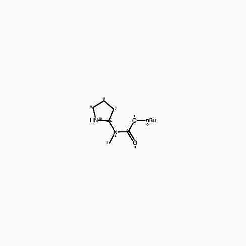 CCCCOC(=O)N(C)C1CCCN1